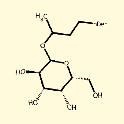 CCCCCCCCCCCCC(C)OC1O[C@H](CO)[C@H](O)[C@H](O)[C@H]1O